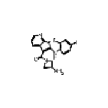 NC1CN(C(=O)c2c(Nc3ccc(I)cc3F)sc3ncccc23)C1